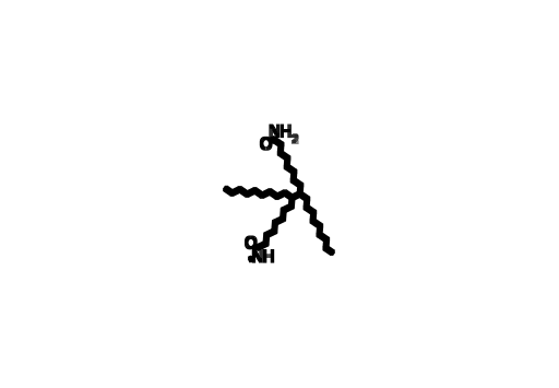 CCCCCCCCCC(CCCCCCCC(N)=O)C(CCCCCCCCC)CCCCCCCC(=O)NC